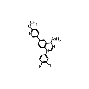 COc1ccc(-c2ccc3c(c2)C([AsH2])N=CN3c2ccc(F)c(Cl)c2)cn1